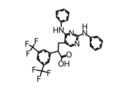 O=C(O)C(Cc1cnc(Nc2ccccc2)nc1Nc1ccccc1)c1cc(C(F)(F)F)cc(C(F)(F)F)c1